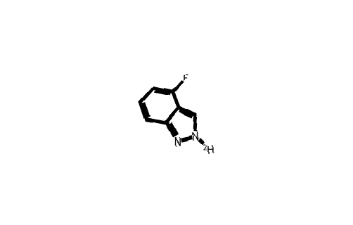 [2H]n1cc2c(F)cccc2n1